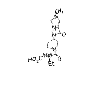 CC[C@@H](NC(=O)O)C(=O)N1CCC(N2CN3CN(C)C=C3C2=O)CC1